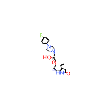 C=CC1=C(/C=C\COC[C@H](O)CN2CCN(c3ccc(F)cc3)CC2)NC(=O)C1